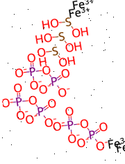 O=P([O-])([O-])OP(=O)([O-])[O-].O=P([O-])([O-])OP(=O)([O-])[O-].O=P([O-])([O-])OP(=O)([O-])[O-].OSO.OSO.OSO.[Fe+3].[Fe+3].[Fe+3].[Fe+3]